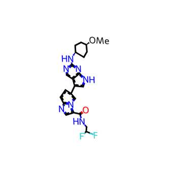 CO[C@H]1CC[C@@H](Nc2ncc3c(-c4ccc5ncc(C(=O)NCC(F)F)n5c4)c[nH]c3n2)CC1